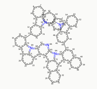 c1ccc(-n2c3ccccc3c3cc(-c4cccc5c6cccc7c8c9c%10cc%11ccccc%11c%11c%12c%13ccccc%13cc(-c%13ccc%14c(c%13)c%13ccccc%13n%14-c%13ccccc%13)c%12n(c9ncc8n(c45)c67)c%10%11)ccc32)cc1